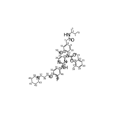 CCC(C)NC(=O)Cc1ccc(N(C(=O)Oc2c(C)cccc2C)c2ccnc(Nc3ccc(OCCCN4CCCCC4)c(F)c3)n2)c(OC)c1